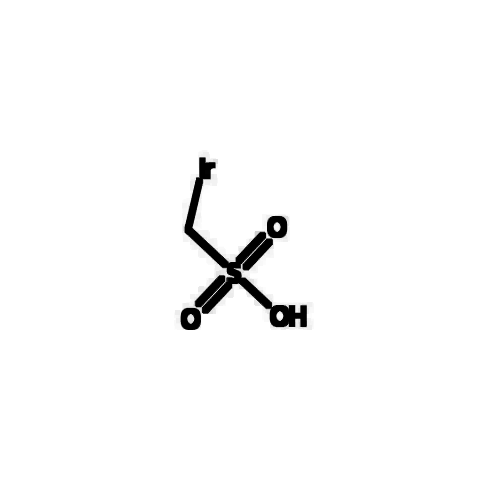 O=S(=O)(O)[CH2][Ir]